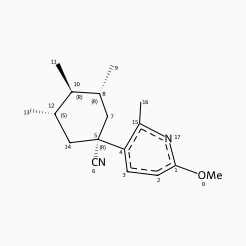 COc1ccc([C@]2(C#N)C[C@@H](C)[C@H](C)[C@@H](C)C2)c(C)n1